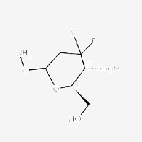 NOC1CC(F)(F)[C@H](O)[C@@H](CO)O1